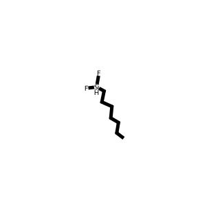 CCCCCCC[SiH](F)F